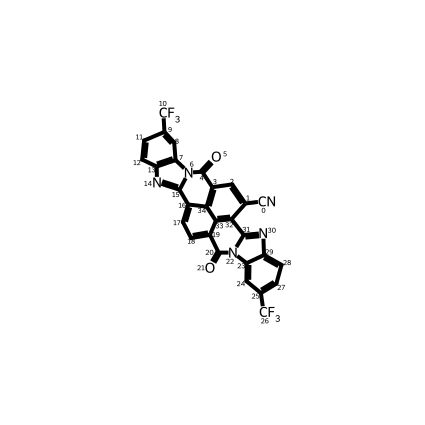 N#Cc1cc2c(=O)n3c4cc(C(F)(F)F)ccc4nc3c3ccc4c(=O)n5c6cc(C(F)(F)F)ccc6nc5c1c4c23